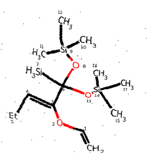 C=COC(=CCC)C([SiH3])(O[Si](C)(C)C)O[Si](C)(C)C